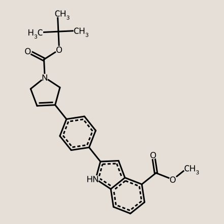 COC(=O)c1cccc2[nH]c(-c3ccc(C4=CCN(C(=O)OC(C)(C)C)C4)cc3)cc12